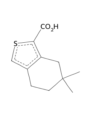 CC1(C)CCc2csc(C(=O)O)c2C1